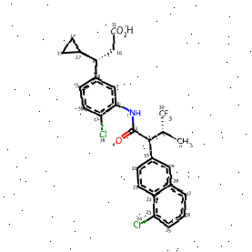 C[C@H](C(C(=O)Nc1cc([C@@H](CC(=O)O)C2CC2)ccc1Cl)c1ccc2c(Cl)cccc2c1)C(F)(F)F